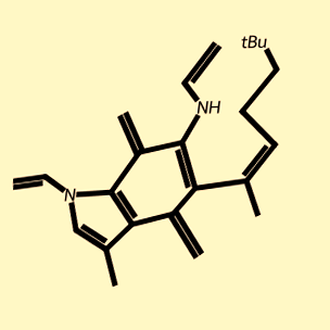 C=CNc1c(/C(C)=C\CCC(C)(C)C)c(=C)c2c(C)cn(C=C)c2c1=C